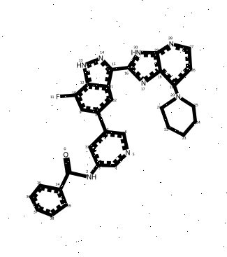 O=C(Nc1cncc(-c2cc(F)c3[nH]nc(-c4nc5c(N6CCCCC6)ccnc5[nH]4)c3c2)c1)c1ccccc1